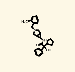 Cc1ccccc1CN1CC2C(C1)C2NC(=O)C(O)(c1ccccc1)C1CCCC1